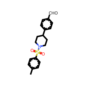 Cc1ccc(S(=O)(=O)N2CCC(c3ccc(C=O)cc3)CC2)cc1